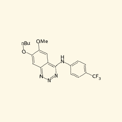 CCCCOc1cc2nnnc(Nc3ccc(C(F)(F)F)cc3)c2cc1OC